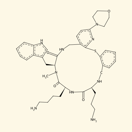 CN1C(=O)[C@H](CCCCN)NC(=O)[C@H](CCCN)NCc2ccccc2Sc2nc(N3CCOCC3)ccc2CNC(=O)[C@@H]1Cc1c[nH]c2ccccc12